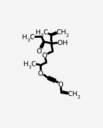 C=COC#COC(C)COCC(O)(C(=C)C)C(=O)CC